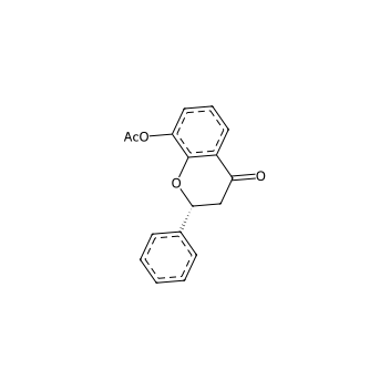 CC(=O)Oc1cccc2c1O[C@@H](c1ccccc1)CC2=O